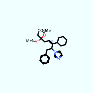 CNOC(C/C=C(/C1CCCCC1)C(Cc1ccccc1)n1ccnc1)(CC(=O)O)ONC